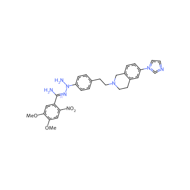 COc1cc(/C(N)=N/N(N)c2ccc(CCN3CCc4cc(-n5ccnc5)ccc4C3)cc2)c([N+](=O)[O-])cc1OC